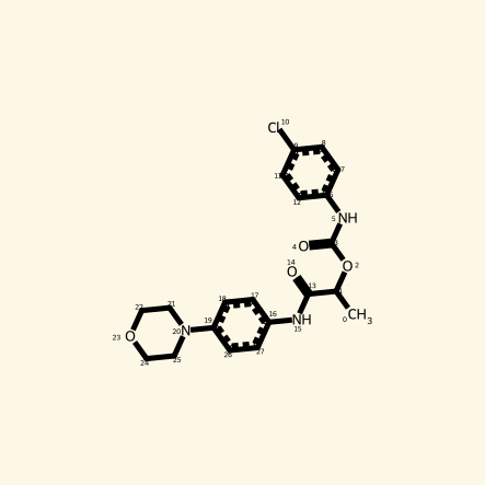 CC(OC(=O)Nc1ccc(Cl)cc1)C(=O)Nc1ccc(N2CCOCC2)cc1